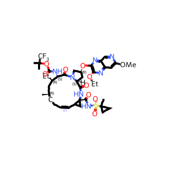 CCOc1nc2cc(OC)ncc2nc1O[C@@H]1C[C@H]2C(=O)N[C@]3(C(=O)NS(=O)(=O)C4(C)CC4)CC3/C=C\CC[C@@H](C)C[C@@H](CC)[C@H](NC(=O)OC(C)(C)C(F)(F)F)C(=O)N2C1